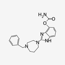 NC(=O)Oc1cccc2[nH]c(N3CCCN(Cc4ccccc4)CC3)nc12